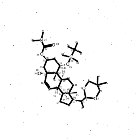 CC(C1OCC(C)(C)CO1)[C@H]1CC[C@H]2[C@@H]3C=C[C@@]4(O)C[C@@H](OC(=O)N(C)C)C[C@H](O[Si](C)(C)C(C)(C)C)[C@]4(C)[C@H]3CC[C@]12C